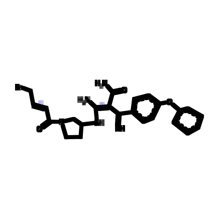 N=C(/C(C(N)=O)=C(/N)NC1CCN(C(=O)/C=C/CBr)C1)c1ccc(Oc2ccccc2)cc1